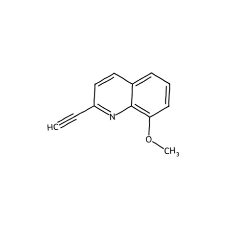 C#Cc1ccc2cccc(OC)c2n1